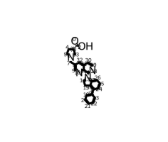 O=C(O)[C@H]1CCN(Cc2cnc3c(N4CCc5c(-c6ccccc6)cccc54)nccc3c2)C1